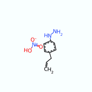 C=CCc1ccc(NN)cc1.O=[N+]([O-])O